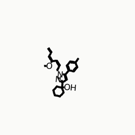 C=C/C=C(\C=C/Cn1nc(C2(O)CCCCC2)cc1-c1ccc(C)cc1)OC